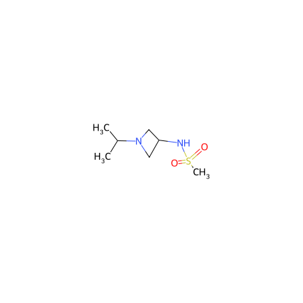 CC(C)N1CC(NS(C)(=O)=O)C1